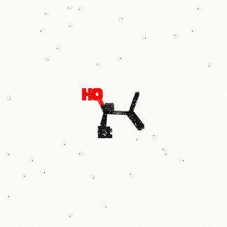 C=C(C)[C@H](O)CC